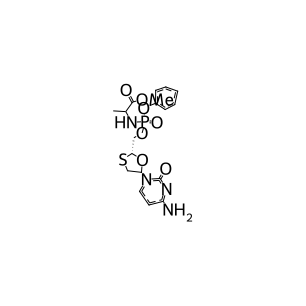 COC(=O)C(C)NP(=O)(OC[C@@H]1O[C@H](n2ccc(N)nc2=O)CS1)Oc1ccccc1